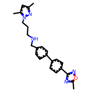 Cc1cc(C)n(CCCNCc2ccc(-c3ccc(-c4noc(C)n4)cc3)cc2)n1